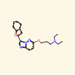 CCN(CC)CCCOc1ccc2ncc(-c3cc4ccccc4o3)n2n1